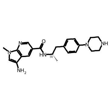 C[C@@H](Cc1ccc(N2CCNCC2)cc1)NC(=O)c1cnc2c(c1)c(N)cn2C